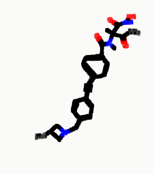 CNC(=O)C(C)(C(=O)NO)N(C)C(=O)c1ccc(C#Cc2ccc(CN3CC(OC)C3)cc2)cc1